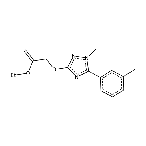 C=C(COc1nc(-c2cccc(C)c2)n(C)n1)OCC